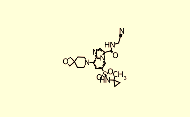 CC1(NS(=O)(=O)c2cc(N3CCC4(CC3)COC4)c3ncc(C(=O)NCC#N)n3c2)CC1